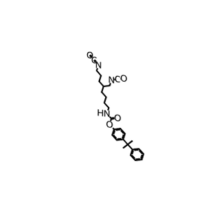 CC(C)(c1ccccc1)c1ccc(OC(=O)NCCCCC(CCCN=C=O)CN=C=O)cc1